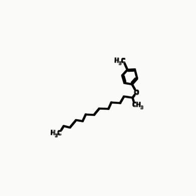 CCCCCCCCCCCCC(C)Oc1ccc(C)cc1